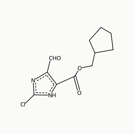 O=Cc1nc(Cl)[nH]c1C(=O)OCC1CCCC1